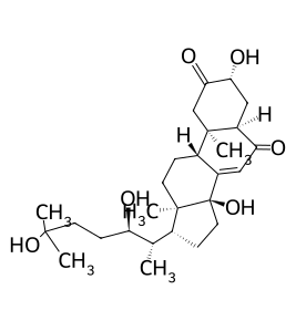 C[C@H]([C@H](O)CCC(C)(C)O)[C@H]1CC[C@@]2(O)C3=CC(=O)[C@@H]4C[C@@H](O)C(=O)C[C@]4(C)[C@H]3CC[C@]12C